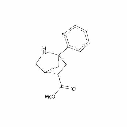 COC(=O)C1CC2(c3ccccn3)CC1CN2